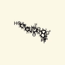 COc1ccc(-c2nc(C(=O)NCc3ccc(N4CCC(O)CC4)cc3)c([C@H](C)N)o2)c2ccc(C(F)(F)F)nc12